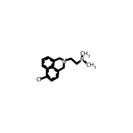 CN(C)CCN1Cc2cccc3c(Cl)ccc(c23)C1